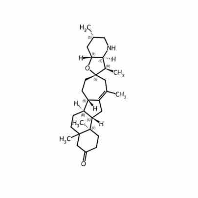 CC1=C2C[C@H]3[C@@H](CCC4(C)CC(=O)CC[C@]34C)[C@@H]2CC[C@@]2(C1)O[C@@H]1C[C@H](C)CN[C@H]1[C@H]2C